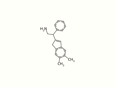 Cc1cc2c(cc1C)CC(C(CN)c1ccccc1)=C2